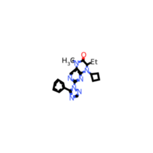 CCC1C(=O)N(C)c2cnc(-n3ncnc3-c3ccccc3)nc2N1C1CCC1